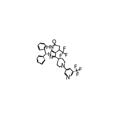 O=C1CC(C(F)(F)F)c2c(C3CCN(c4cncc(C(F)(F)F)c4)CC3)nn(C(c3ccccc3)c3ccccc3)c2N1